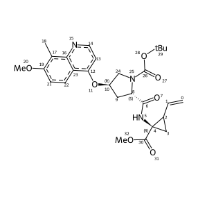 C=CC1C[C@]1(NC(=O)[C@@H]1C[C@@H](Oc2ccnc3c(C)c(OC)ccc23)CN1C(=O)OC(C)(C)C)C(=O)OC